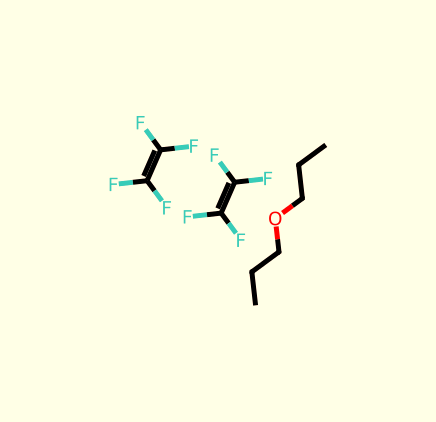 CCCOCCC.FC(F)=C(F)F.FC(F)=C(F)F